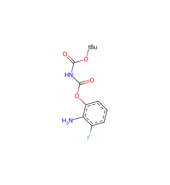 CC(C)(C)OC(=O)NC(=O)Oc1cccc(F)c1N